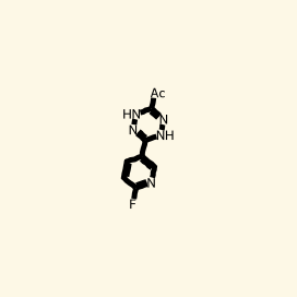 CC(=O)C1=NNC(c2ccc(F)nc2)=NN1